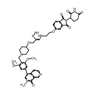 COc1cc(-c2cn(C)c(=O)c3cnccc23)cc(OC)c1CN1CCC(OC/C(=C/NCCOc2ccc3c(c2)C(=O)N(C2CCC(=O)NC2=O)C3=O)N=N)CC1